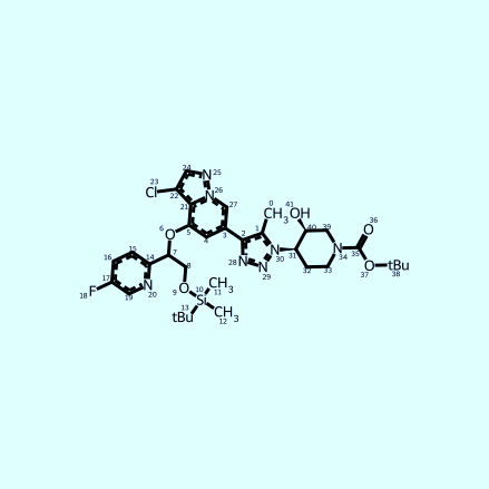 Cc1c(-c2cc(OC(CO[Si](C)(C)C(C)(C)C)c3ccc(F)cn3)c3c(Cl)cnn3c2)nnn1[C@@H]1CCN(C(=O)OC(C)(C)C)C[C@@H]1O